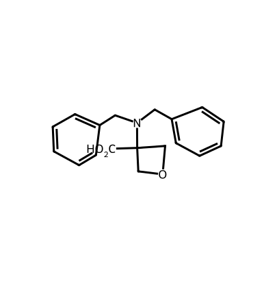 O=C(O)C1(N(Cc2ccccc2)Cc2ccccc2)COC1